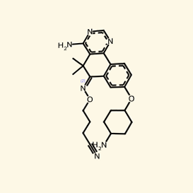 CC1(C)/C(=N/OCCCC#N)c2cc(OC3CCC(N)CC3)ccc2-c2ncnc(N)c21